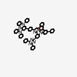 c1ccc(-c2ccc3c(c2)c2ccccc2n3-c2ccc(-c3nc(-c4ccccc4)nc(-c4ccccc4)n3)cc2-c2nc(-c3ccccc3)cc(-c3ccc(-c4cc5c6c(c4)N(c4ccccc4)c4ccccc4B6c4ccccc4N5c4ccccc4)cc3)n2)cc1